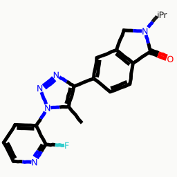 Cc1c(-c2ccc3c(c2)CN(C(C)C)C3=O)nnn1-c1cccnc1F